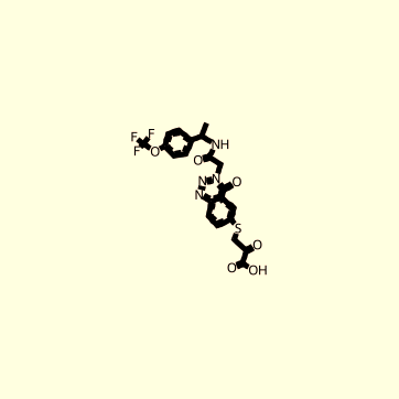 CC(NC(=O)Cn1nnc2ccc(SCC(=O)C(=O)O)cc2c1=O)c1ccc(OC(F)(F)F)cc1